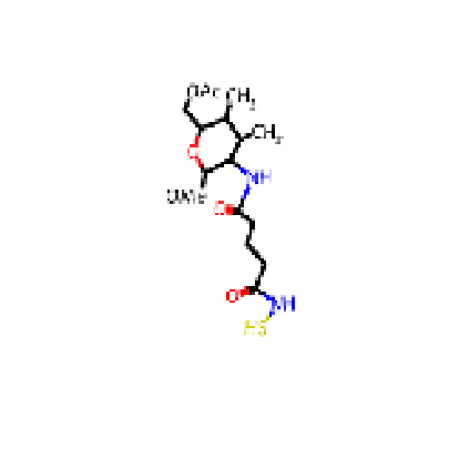 COC1OC(COC(C)=O)C(C)C(C)C1NC(=O)CCCC(=O)NS